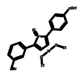 CCCCCCCCc1ccc(C2=CC=C(c3cccc(CCCC)c3)[N+]2=[N-])cc1.CC[O][Ni][O]CC